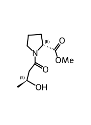 COC(=O)[C@H]1CCCN1C(=O)C[C@H](C)O